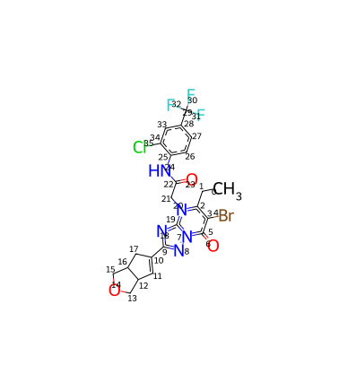 CCc1c(Br)c(=O)n2nc(C3=CC4COCC4C3)nc2n1CC(=O)Nc1ccc(C(F)(F)F)cc1Cl